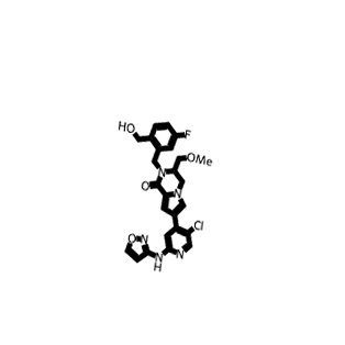 COCC1Cn2cc(-c3cc(Nc4ccon4)ncc3Cl)cc2C(=O)N1Cc1cc(F)ccc1CO